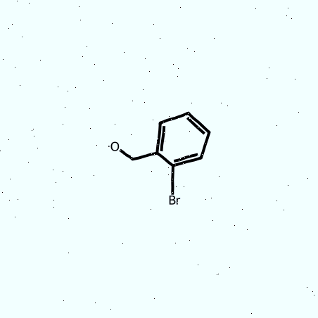 [O]Cc1ccccc1Br